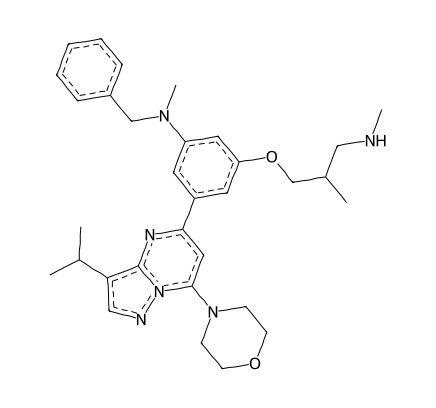 CNCC(C)COc1cc(-c2cc(N3CCOCC3)n3ncc(C(C)C)c3n2)cc(N(C)Cc2ccccc2)c1